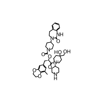 Cc1cc(C[C@@H](OC(=O)N2CCC(N3CCc4ccccc4NC3=O)CC2)C(=O)[N+]2(C3CCNCC3)CCC(O)(CO)CC2)cc2c1OCCO2